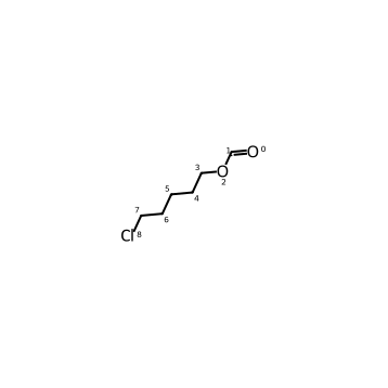 O=[C]OCCCCCCl